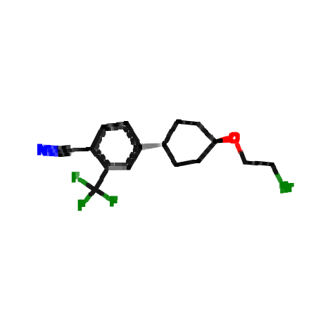 N#Cc1ccc([C@H]2CC[C@H](OCCBr)CC2)cc1C(F)(F)F